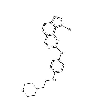 CC(C)n1nnc2ccc3cnc(Nc4ccc(NCCN5CCOCC5)cc4)nc3c21